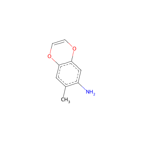 Cc1cc2c(cc1N)OC=CO2